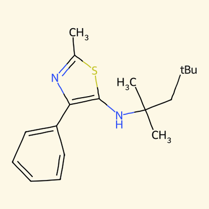 Cc1nc(-c2ccccc2)c(NC(C)(C)CC(C)(C)C)s1